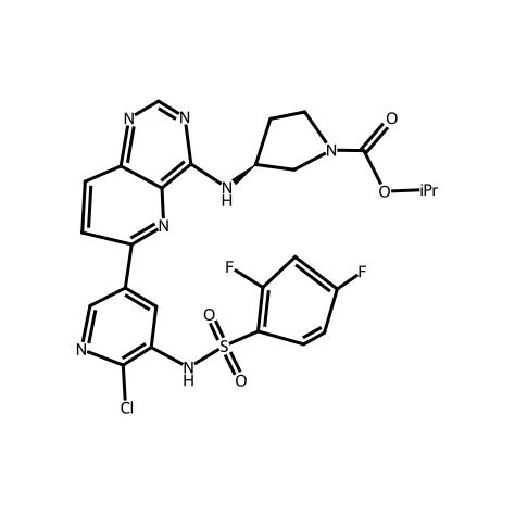 CC(C)OC(=O)N1CC[C@H](Nc2ncnc3ccc(-c4cnc(Cl)c(NS(=O)(=O)c5ccc(F)cc5F)c4)nc23)C1